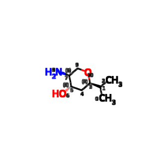 CC(C)[C@H]1C[C@H](O)[C@@H](N)CO1